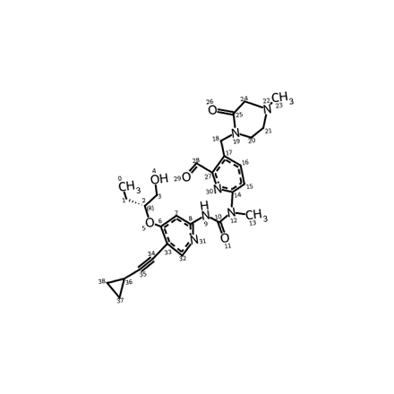 CC[C@H](CO)Oc1cc(NC(=O)N(C)c2ccc(CN3CCN(C)CC3=O)c(C=O)n2)ncc1C#CC1CC1